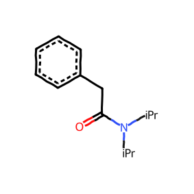 CC(C)N(C(=O)Cc1ccccc1)C(C)C